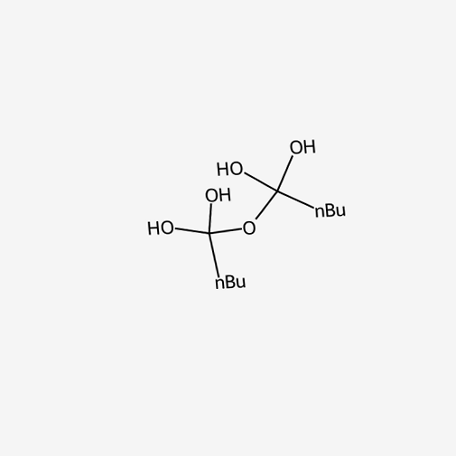 CCCCC(O)(O)OC(O)(O)CCCC